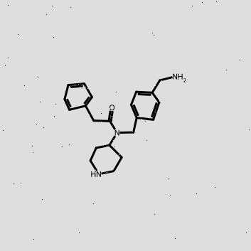 NCc1ccc(CN(C(=O)Cc2ccccc2)C2CCNCC2)cc1